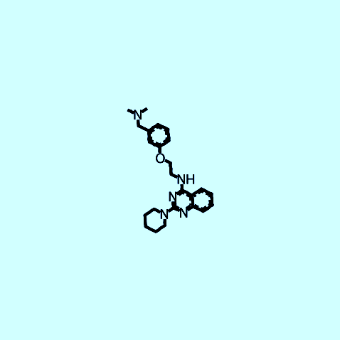 CN(C)Cc1cccc(OCCNc2nc(N3CCCCC3)nc3ccccc23)c1